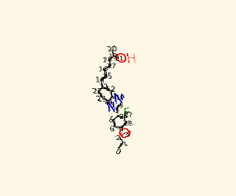 C=CCOc1ccc(-c2cnc3cc(C=CCCCC(C)O)ccc3n2)c(F)c1